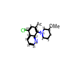 COC1CCCN(c2c(C(C)=O)cc(Cl)c3cccnc23)C1